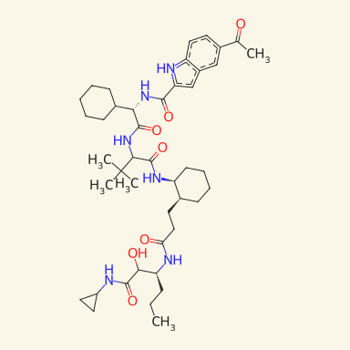 CCC[C@H](NC(=O)CC[C@@H]1CCCC[C@@H]1NC(=O)C(NC(=O)[C@@H](NC(=O)c1cc2cc(C(C)=O)ccc2[nH]1)C1CCCCC1)C(C)(C)C)C(O)C(=O)NC1CC1